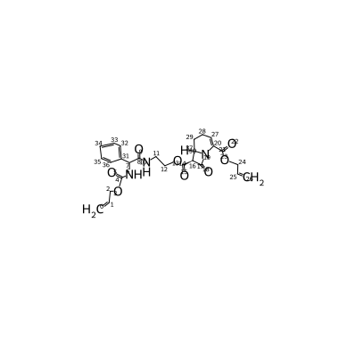 C=CCOC(=O)NC(C(=O)NCCOC(=O)[C@@H]1C(=O)N2C(C(=O)OCC=C)=CCC[C@@H]12)c1ccccc1